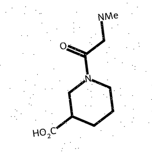 CNCC(=O)N1CCCC(C(=O)O)C1